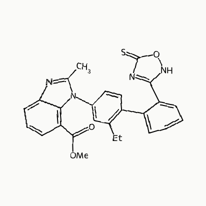 CCc1cc(-n2c(C)nc3cccc(C(=O)OC)c32)ccc1-c1ccccc1-c1nc(=S)o[nH]1